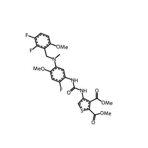 COC(=O)c1scc(NC(=O)Nc2cc(N(C)Cc3c(OC)ccc(F)c3F)c(OC)cc2F)c1C(=O)OC